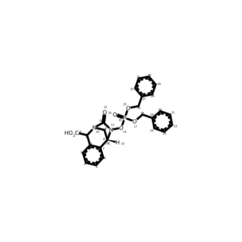 O=C(O)C1c2ccccc2[C@@H]2CN1C(=O)N2OP(=O)(OCc1ccccc1)OCc1ccccc1